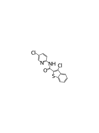 O=C(Nc1ccc(Cl)cn1)c1sc2ccccc2c1Cl